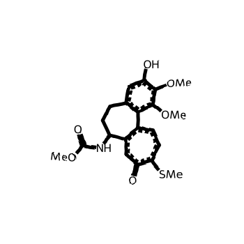 COC(=O)NC1CCc2cc(O)c(OC)c(OC)c2-c2ccc(SC)c(=O)cc21